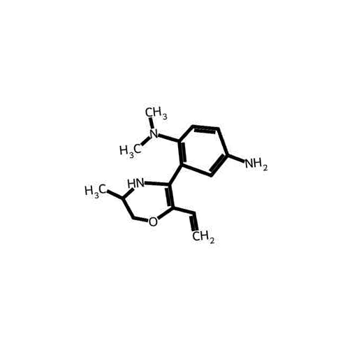 C=CC1=C(c2cc(N)ccc2N(C)C)NC(C)CO1